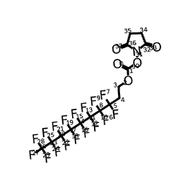 O=C(OCCC(F)(F)C(F)(F)C(F)(F)C(F)(F)C(F)(F)C(F)(F)C(F)(F)C(F)(F)F)ON1C(=O)CCC1=O